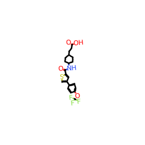 O=C(O)CCC1CCC(NC(=O)c2cc(-c3ccc(OC(F)(F)F)cc3)cs2)CC1